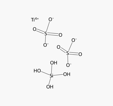 O=S(=O)([O-])[O-].O=S(=O)([O-])[O-].O[Si](O)(O)O.[Ti+4]